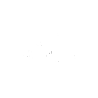 C/C1=C/C(=O)N[C@@H]2CC(CCC/C=C\CC1)O[C@@](O)([C@@H]1CSC(=O)N1)C2